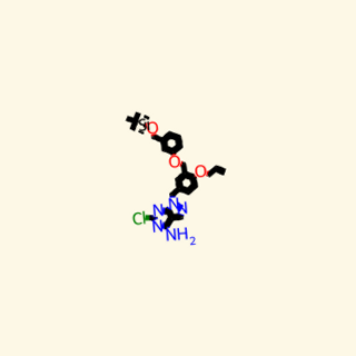 C=CCOc1ccc(Cn2ncc3c(N)nc(Cl)nc32)cc1COc1cccc(CO[Si](C)(C)C(C)(C)C)c1